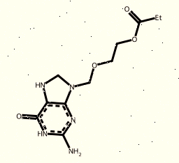 CCC(=O)OCCOCN1CNc2c1nc(N)[nH]c2=O